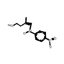 CC(=C[S+]([O-])c1ccc([N+](=O)[O-])cc1)CCO